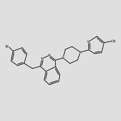 N#Cc1ccc(N2CCN(c3nnc(Cc4ccc(Br)cc4)c4ccccc34)CC2)nc1